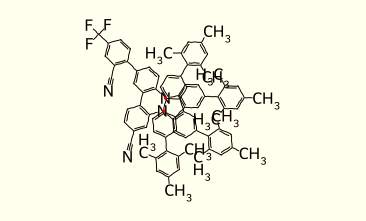 Cc1cc(C)c(-c2ccc3c(c2)c2cc(-c4c(C)cc(C)cc4C)ccc2n3-c2ccc(-c3ccc(C(F)(F)F)cc3C#N)cc2-c2ccc(C#N)cc2-n2c3ccc(-c4c(C)cc(C)cc4C)cc3c3cc(-c4c(C)cc(C)cc4C)ccc32)c(C)c1